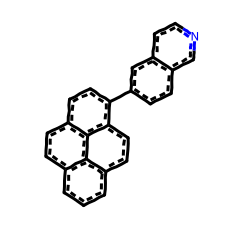 c1cc2ccc3ccc(-c4ccc5cnccc5c4)c4ccc(c1)c2c34